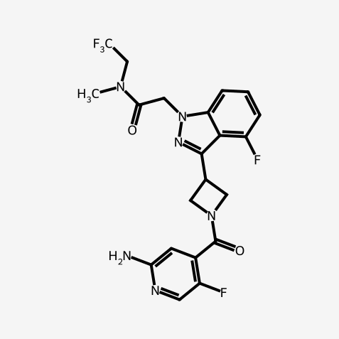 CN(CC(F)(F)F)C(=O)Cn1nc(C2CN(C(=O)c3cc(N)ncc3F)C2)c2c(F)cccc21